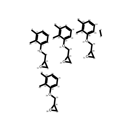 CC.Cc1cccc(OCC2CO2)c1C.Cc1cccc(OCC2CO2)c1C.Cc1cccc(OCC2CO2)c1C.Cc1cccc(OCC2CO2)c1C